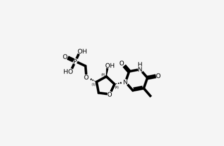 Cc1cn([C@@H]2OC[C@H](OCP(=O)(O)O)[C@H]2O)c(=O)[nH]c1=O